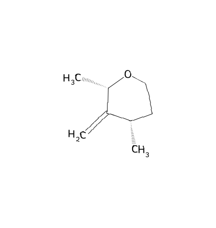 C=C1[C@H](C)OCC[C@@H]1C